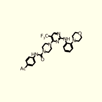 CC(=O)c1ccc(NC(=O)N2CCN(c3nc(Nc4ccccc4N4CCOCC4)ncc3C(F)(F)F)CC2)cc1